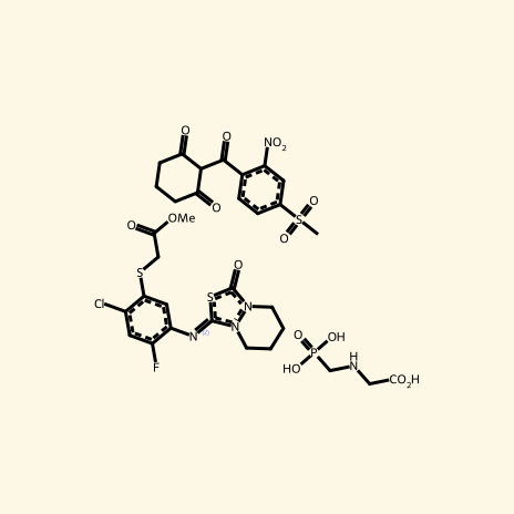 COC(=O)CSc1cc(/N=c2\sc(=O)n3n2CCCC3)c(F)cc1Cl.CS(=O)(=O)c1ccc(C(=O)C2C(=O)CCCC2=O)c([N+](=O)[O-])c1.O=C(O)CNCP(=O)(O)O